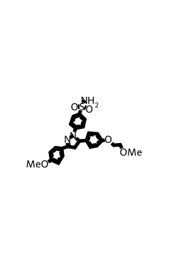 COCCOc1ccc(C2CC(c3ccc(OC)cc3)=NN2c2ccc(S(N)(=O)=O)cc2)cc1